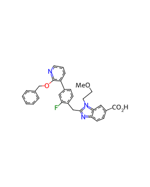 COCCn1c(Cc2ccc(-c3cccnc3OCc3ccccc3)cc2F)nc2ccc(C(=O)O)cc21